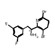 N[C@@H](Cc1cc(F)cc(F)c1)C1=C(Br)CCC(Br)=N1